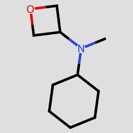 CN(C1CCCCC1)C1COC1